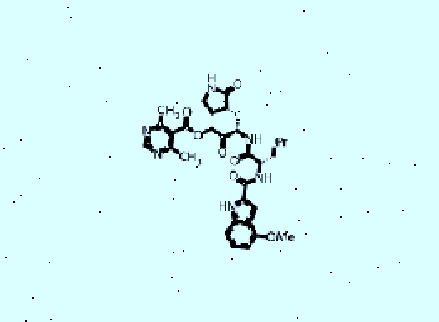 COc1cccc2[nH]c(C(=O)N[C@@H](CC(C)C)C(=O)N[C@@H](C[C@@H]3CCNC3=O)C(=O)COC(=O)c3c(C)ncnc3C)cc12